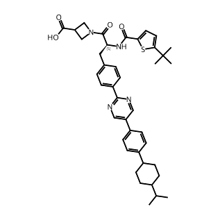 CC(C)C1CCC(c2ccc(-c3cnc(-c4ccc(C[C@H](NC(=O)c5ccc(C(C)(C)C)s5)C(=O)N5CC(C(=O)O)C5)cc4)nc3)cc2)CC1